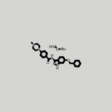 CC(C)(C)OC=O.CN1CCN(c2ccc(C(=O)Nc3n[nH]c4cc(OCc5ccccc5)ccc34)cc2)CC1